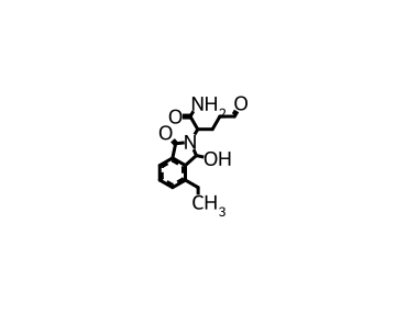 CCc1cccc2c1C(O)N(C(CCC=O)C(N)=O)C2=O